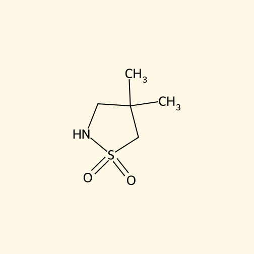 CC1(C)CNS(=O)(=O)C1